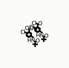 CC(C)(C)C(=O)NCc1ccc(Cl)c(C(=O)Cl)c1.CC(C)(C)C(=O)NCc1ccc(Cl)c(C(=O)O)c1